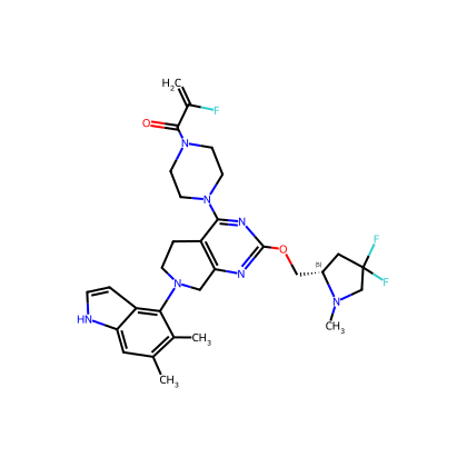 C=C(F)C(=O)N1CCN(c2nc(OC[C@@H]3CC(F)(F)CN3C)nc3c2CCN(c2c(C)c(C)cc4[nH]ccc24)C3)CC1